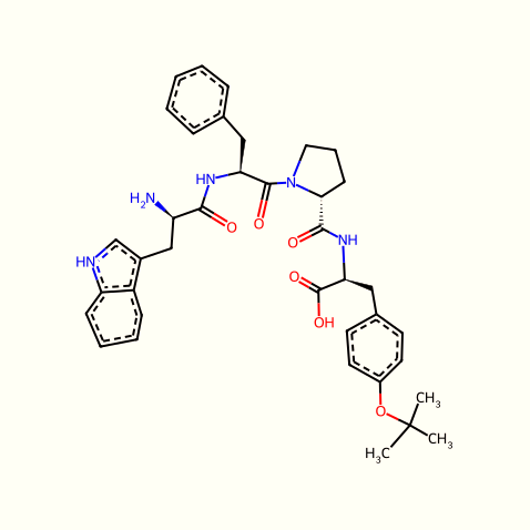 CC(C)(C)Oc1ccc(C[C@H](NC(=O)[C@H]2CCCN2C(=O)[C@H](Cc2ccccc2)NC(=O)[C@H](N)Cc2c[nH]c3ccccc23)C(=O)O)cc1